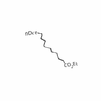 CCCCCCCCCCCCCCCCCC(=O)OCC